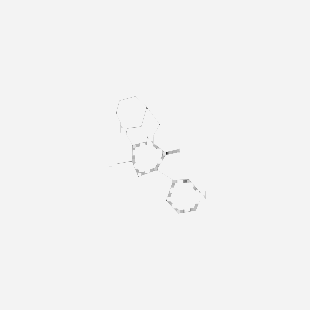 O=c1c(-c2cccnc2)cc(Br)c2n1CC1CCCN2C1